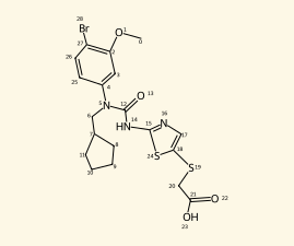 COc1cc(N(CC2CCCC2)C(=O)Nc2ncc(SCC(=O)O)s2)ccc1Br